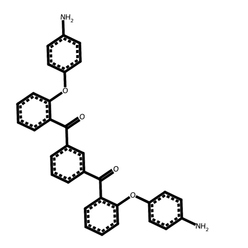 Nc1ccc(Oc2ccccc2C(=O)c2cccc(C(=O)c3ccccc3Oc3ccc(N)cc3)c2)cc1